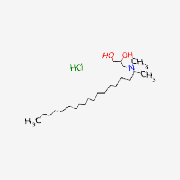 CCCCCCCCCCCCCCCCCC(C)N(C)CC(O)CO.Cl